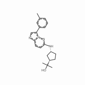 Cc1cccc(-c2cnc3ccc(N[C@@H]4CC[C@@H](C(C)(C)O)C4)nn23)c1